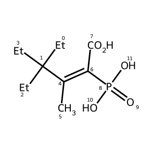 CCC(CC)(CC)C(C)=C(C(=O)O)P(=O)(O)O